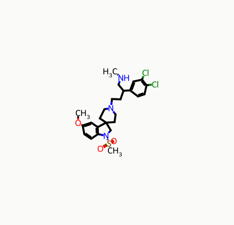 CNCC(CCN1CCC2(CC1)CN(S(C)(=O)=O)c1ccc(OC)cc12)c1ccc(Cl)c(Cl)c1